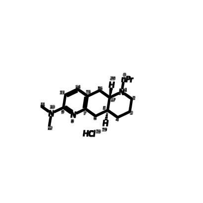 CCCN1CCC[C@H]2Cc3nc(N(C)C)ccc3C[C@@H]21.Cl